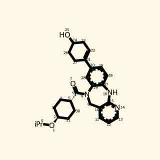 CC(C)O[C@H]1CC[C@H](C(=O)N2Cc3cccnc3Nc3ccc(C4=CCC(O)CC4)cc32)CC1